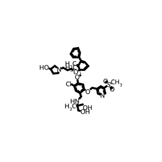 CC(CO)(CO)NCc1cc(Cl)c(OC[C@@]2(OCCCN3CCC(O)C3)C=CC=C(c3ccccc3)C2(C)C)cc1OCc1cncc(S(C)(=O)=O)c1